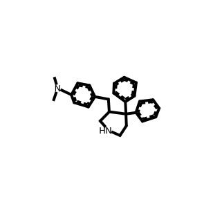 CN(C)c1ccc(CC2CNCCC2(c2ccccc2)c2ccccc2)cc1